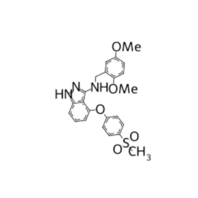 COc1ccc(OC)c(CNc2n[nH]c3cccc(Oc4ccc(S(C)(=O)=O)cc4)c23)c1